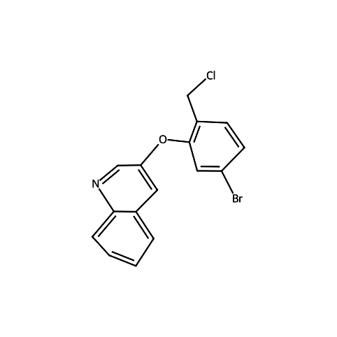 ClCc1ccc(Br)cc1Oc1cnc2ccccc2c1